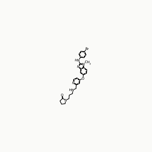 Cn1c(Nc2ccc(Br)cc2)nc2cc(Oc3ccnc(CNCCCN4CCCC4=O)c3)ccc21